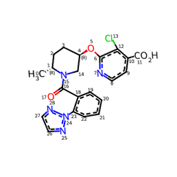 C[C@@H]1CC[C@@H](Oc2nccc(C(=O)O)c2Cl)CN1C(=O)c1ccccc1-n1nccn1